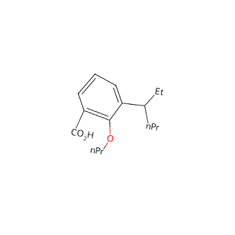 CCCOc1c(C(=O)O)cccc1C(CC)CCC